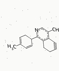 CC1=CCC(c2ncc(C)c3c2CCC#C3)C=C1